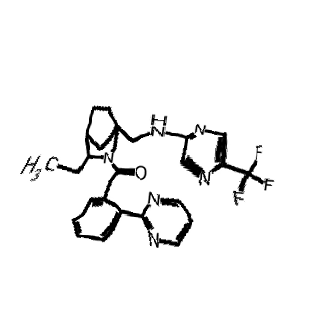 CCC1C2CCC(CNc3cnc(C(F)(F)F)cn3)(C2)N1C(=O)c1ccccc1-c1ncccn1